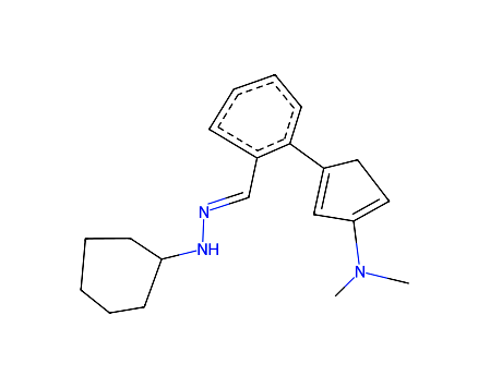 CN(C)C1=CCC(c2ccccc2C=NNC2CCCCC2)=C1